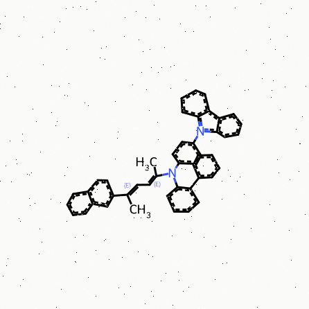 C/C(=C\C=C(/C)N(c1ccc(-n2c3ccccc3c3ccccc32)cc1)c1ccccc1-c1ccccc1)c1ccc2ccccc2c1